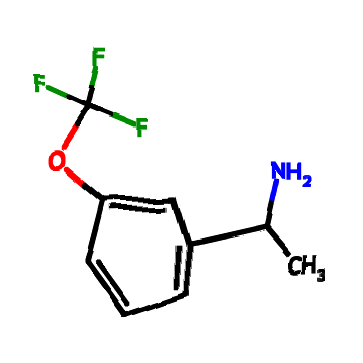 CC(N)c1cccc(OC(F)(F)F)c1